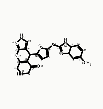 CC1=CC2N=C(Sc3ccc(C4C5=C(CNCC5=O)Nc5n[nH]cc54)s3)NC2C=C1